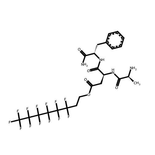 C[C@H](N)C(=O)N[C@@H](CC(=O)OCCC(F)(F)C(F)(F)C(F)(F)C(F)(F)C(F)(F)C(F)(F)F)C(=O)N[C@@H](Cc1ccccc1)C(N)=O